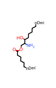 CCCCCCCCCCCCCCCC(=O)OCC(N)C(O)CCCCCCCCCCCCCCC